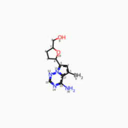 Bc1cc(C2CCC(CO)O2)n2ncnc(N)c12